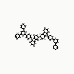 C1CCC(C2CCCC(C3CCC(N4C5CCCCC5C5CC(C6CCC7C(C6)C6CCCCC6N7C6CCC(C7CC(C8CCCCC8)CC(C8CCCCC8)C7)CC6)CCC54)CC3)C2)CC1